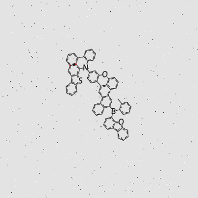 Cc1ccccc1B(c1cc2c3cccc4c3c(cc2c2ccccc12)-c1ccc(N(c2ccccc2-c2ccccc2)c2cccc3c2sc2ccccc23)cc1O4)c1cccc2c1oc1ccccc12